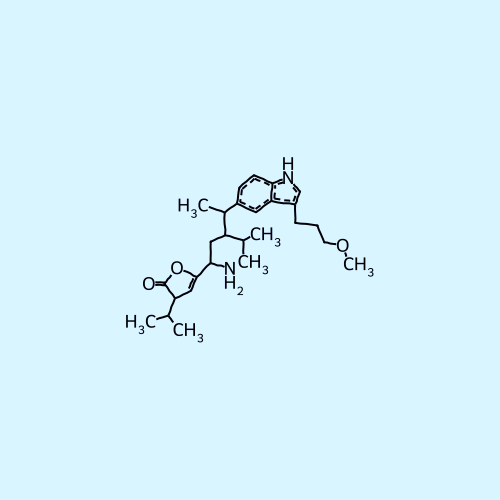 COCCCc1c[nH]c2ccc(C(C)C(CC(N)C3=CC(C(C)C)C(=O)O3)C(C)C)cc12